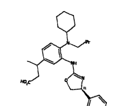 CC(C)CN(c1ccc(C(C)CC(=O)O)cc1NC1=N[C@@H](c2ccccc2)CO1)C1CCCCC1